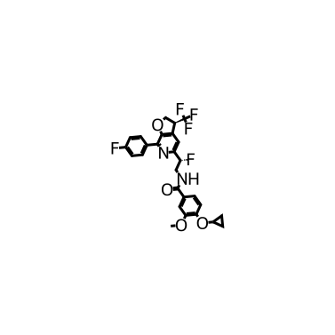 COc1cc(C(=O)NC[C@@H](F)c2cc3c(c(-c4ccc(F)cc4)n2)OC[C@H]3C(F)(F)F)ccc1OC1CC1